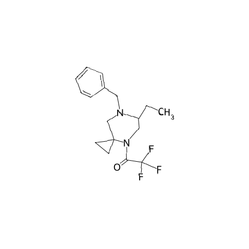 CCC1CN(C(=O)C(F)(F)F)C2(CC2)CN1Cc1ccccc1